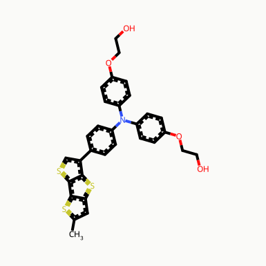 Cc1cc2sc3c(-c4ccc(N(c5ccc(OCCO)cc5)c5ccc(OCCO)cc5)cc4)csc3c2s1